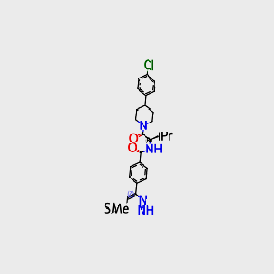 CS/C=C(\N=N)c1ccc(C(=O)N[C@@H](C(=O)N2CCC(c3ccc(Cl)cc3)CC2)C(C)C)cc1